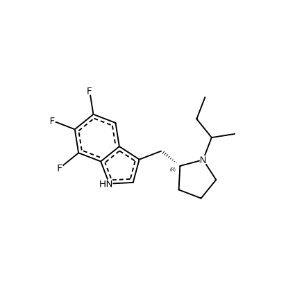 CCC(C)N1CCC[C@@H]1Cc1c[nH]c2c(F)c(F)c(F)cc12